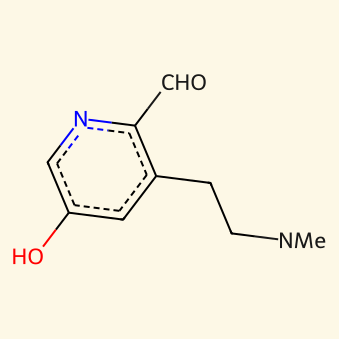 CNCCc1cc(O)cnc1C=O